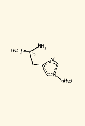 CCCCCCn1cnc(C[C@H](N)C(=O)O)c1